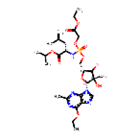 CCOC(=O)COP(=O)(N[C@@H](CC(C)C)C(=O)OC(C)C)OC[C@H]1O[C@@H](n2cnc3c(OCC)nc(C)nc32)[C@@](C)(O)C1O